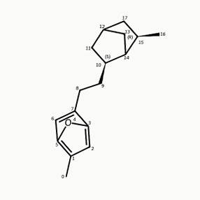 Cc1cc2oc1cc2CC[C@H]1CC2CC1[C@H](C)C2